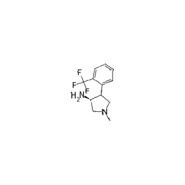 CN1CC(c2ccccc2C(F)(F)F)[C@H](N)C1